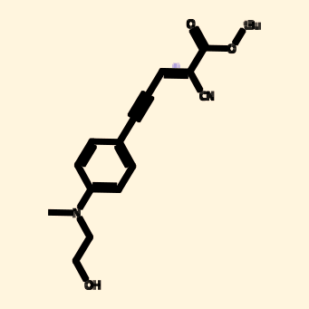 CN(CCO)c1ccc(C#C/C=C(\C#N)C(=O)OC(C)(C)C)cc1